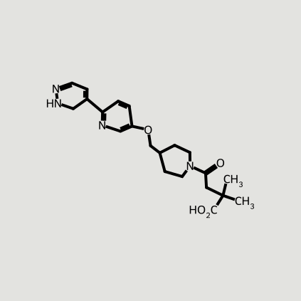 CC(C)(CC(=O)N1CCC(COc2ccc(C3=CC=NNC3)nc2)CC1)C(=O)O